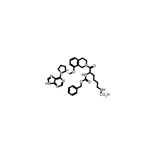 O=C(O)NCCCCC(NC(=O)OCc1ccccc1)C(=O)N1CCc2cccc(OC[C@H]3CCCN3c3ncnc4[nH]cnc34)c2C1